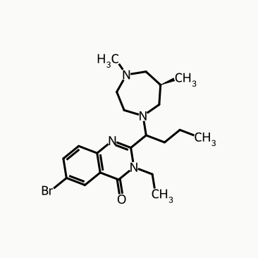 CCCC(c1nc2ccc(Br)cc2c(=O)n1CC)N1CCN(C)C[C@@H](C)C1